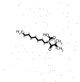 C=C(C)C(=O)N(CCCCCCCC)C(=O)O